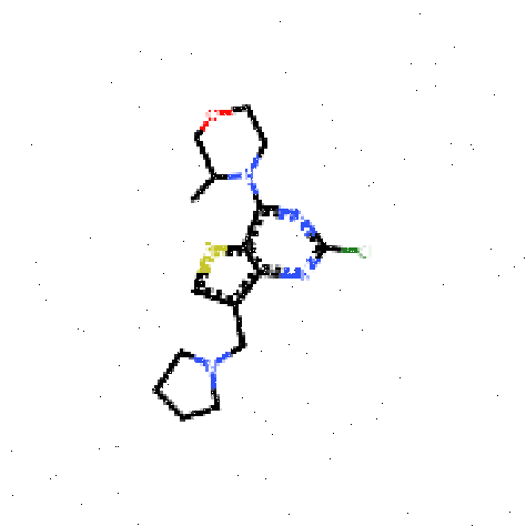 CC1COCCN1c1nc(Cl)nc2c(CN3CCCC3)csc12